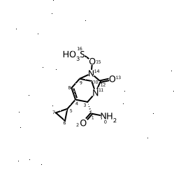 NC(=O)[C@@H]1C(C2CC2)=CC2CN1C(=O)N2OS(=O)(=O)O